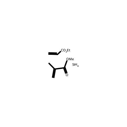 C=C(C)C(=O)OC.C=CC(=O)OCC.[SiH4]